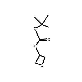 CC(C)(C)OC(=O)NC1COC1